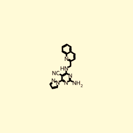 N#Cc1c(NCc2ccc3ccccc3n2)nc(N)nc1-n1cccn1